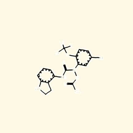 [2H]C([2H])([2H])Oc1ccc(Cl)cc1N(OC(=O)C(F)(F)F)C(=O)Nc1cccc2c1CCN2